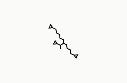 [CH2]C(C(CCCCCC1CC1)CCCCC1CC1)C1CC1